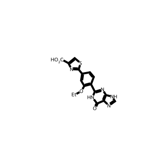 CCOc1cc(-c2nc(C(=O)O)cs2)ccc1-c1nc2[nH]cnc2c(=O)[nH]1